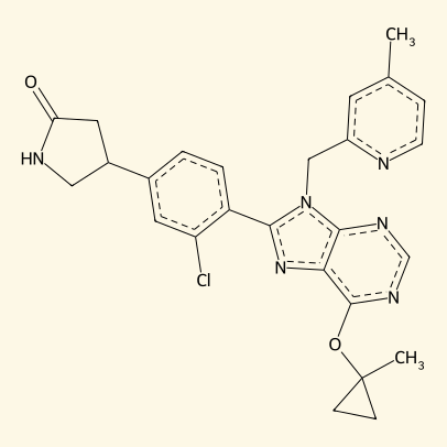 Cc1ccnc(Cn2c(-c3ccc(C4CNC(=O)C4)cc3Cl)nc3c(OC4(C)CC4)ncnc32)c1